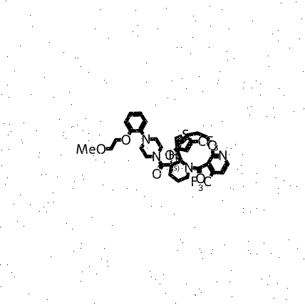 COCCOc1ccccc1N1CCN(C(=O)[C@]2(Oc3csc(C(F)(F)F)c3)CCCN3C(=O)c4c(C(F)(F)F)ccnc4OCCC=CC[C@@H]32)CC1